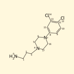 NCCCN1CCN(c2ccc(Cl)c(Cl)c2)CC1